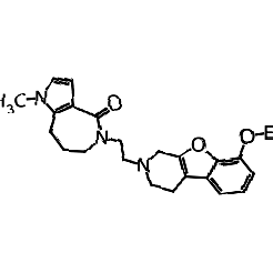 CCOc1cccc2c3c(oc12)CN(CCN1CCCc2c(ccn2C)C1=O)CC3